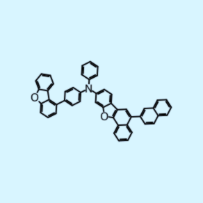 c1ccc(N(c2ccc(-c3cccc4oc5ccccc5c34)cc2)c2ccc3c(c2)oc2c4ccccc4c(-c4ccc5ccccc5c4)cc32)cc1